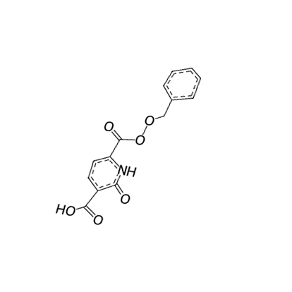 O=C(OOCc1ccccc1)c1ccc(C(=O)O)c(=O)[nH]1